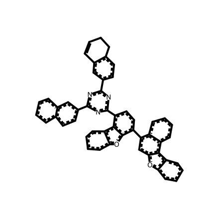 C1=Cc2cc(-c3nc(-c4ccc5ccccc5c4)nc(-c4ccc(-c5cc6oc7ccccc7c6c6ccccc56)c5oc6ccccc6c45)n3)ccc2CC1